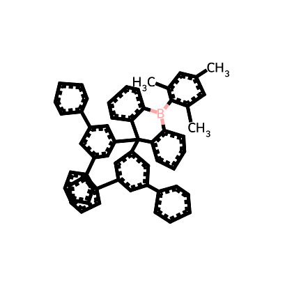 Cc1cc(C)c(B2c3ccccc3C(c3cc(-c4ccccc4)cc(-c4ccccc4)c3)(c3cc(-c4ccccc4)cc(-c4ccccc4)c3)c3ccccc32)c(C)c1